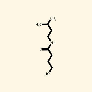 CC(C)CCNC(=O)CCCO